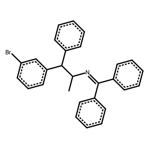 CC(N=C(c1ccccc1)c1ccccc1)C(c1ccccc1)c1cccc(Br)c1